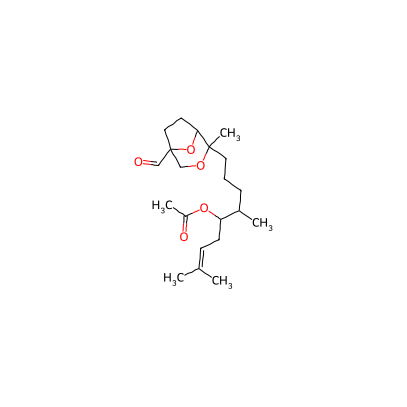 CC(=O)OC(CC=C(C)C)C(C)CCCC1(C)OCC2(C=O)CCC1O2